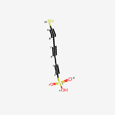 O=S(=O)(O)C#CC#CC#CS